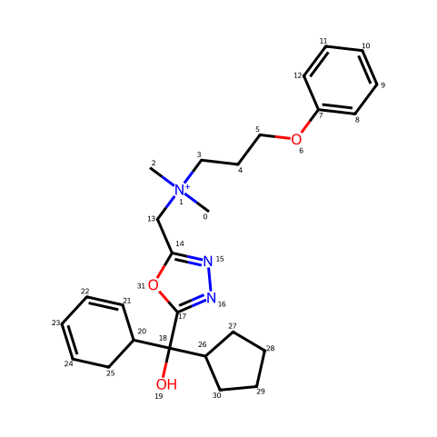 C[N+](C)(CCCOc1ccccc1)Cc1nnc(C(O)(C2C=CC=CC2)C2CCCC2)o1